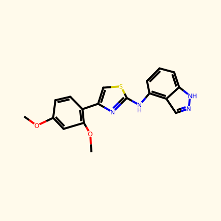 COc1ccc(-c2csc(Nc3cccc4[nH]ncc34)n2)c(OC)c1